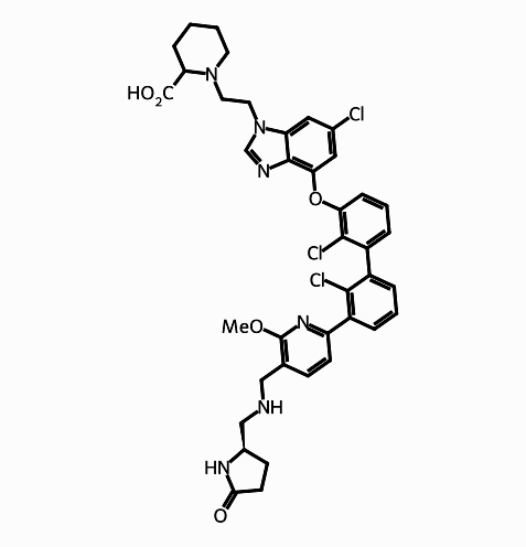 COc1nc(-c2cccc(-c3cccc(Oc4cc(Cl)cc5c4ncn5CCN4CCCCC4C(=O)O)c3Cl)c2Cl)ccc1CNC[C@H]1CCC(=O)N1